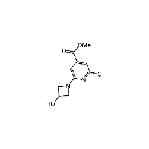 COC(=O)c1cc(Cl)nc(N2CC(O)C2)c1